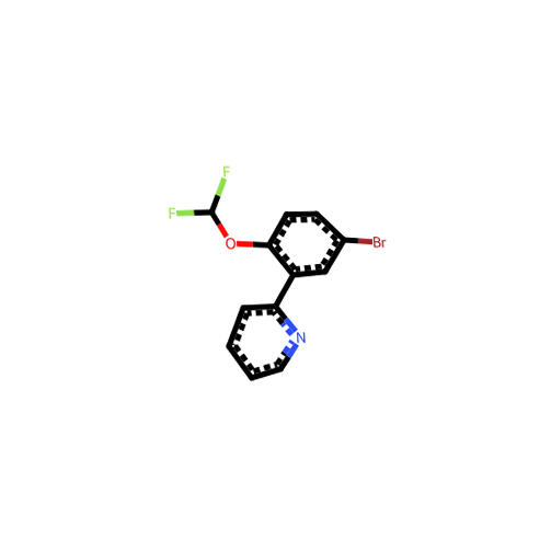 FC(F)Oc1ccc(Br)cc1-c1ccccn1